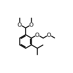 COCOc1c(C(C)C)cccc1C(OC)OC